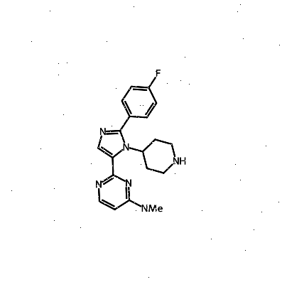 CNc1ccnc(-c2cnc(-c3ccc(F)cc3)n2C2CCNCC2)n1